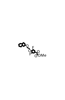 COC(=O)C(=O)c1cc(F)c(OCCOc2ccc3ccccc3c2)c(F)c1